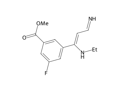 CCN/C(=C\C=N)c1cc(F)cc(C(=O)OC)c1